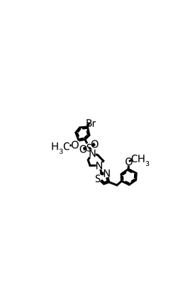 COc1cccc(Cc2csc(N3CCN(S(=O)(=O)c4cc(Br)ccc4OC)CC3)n2)c1